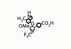 COc1cc(C)c2[nH]ccc2c1O[C@H]1CCN(CC(F)(F)F)C[C@@H]1c1ccc(C(=O)O)cc1